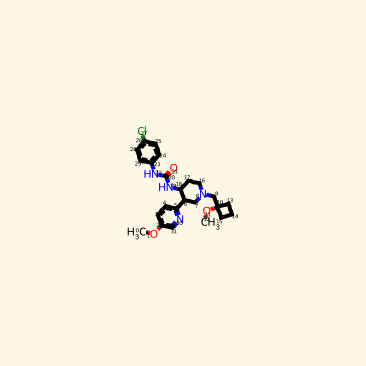 COc1ccc(C2CN(CC3(OC)CCC3)CCC2NC(=O)Nc2ccc(Cl)cc2)nc1